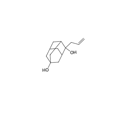 C=CCC1(O)C2CC3CC1CC(O)(C3)C2